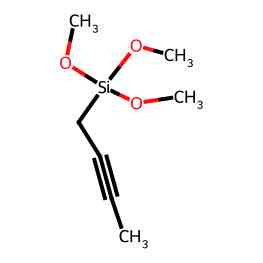 CC#CC[Si](OC)(OC)OC